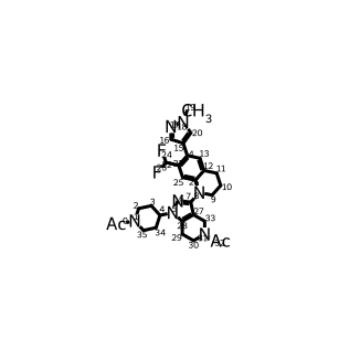 CC(=O)N1CCC(n2nc(N3CCCc4cc(-c5cnn(C)c5)c(C(F)F)cc43)c3c2CCN(C(C)=O)C3)CC1